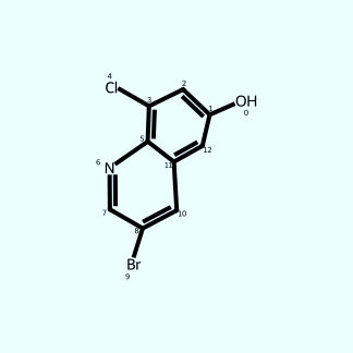 Oc1cc(Cl)c2ncc(Br)cc2c1